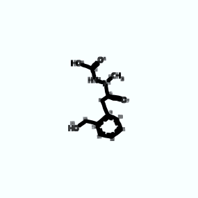 CN(NC(=O)O)C(=O)Cc1ccccc1CO